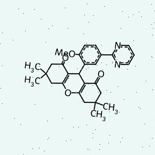 COc1ccc(-c2ncccn2)cc1C1C2=C(CC(C)(C)CC2=O)OC2=C1C(=O)CC(C)(C)C2